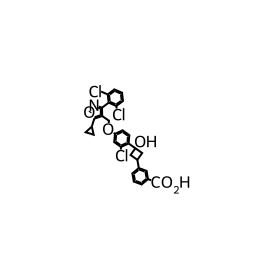 O=C(O)c1cccc(C2CC(O)(c3ccc(OCc4c(-c5c(Cl)cccc5Cl)noc4C4CC4)cc3Cl)C2)c1